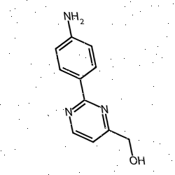 Nc1ccc(-c2nccc(CO)n2)cc1